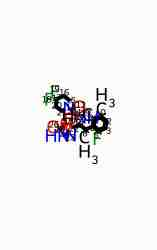 Cc1ccc(F)c([C@@H](C)[C@H](NS(=O)(=O)N2CCC(F)(F)CC2)c2n[nH]c(=O)o2)c1C